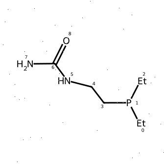 CCP(CC)CCNC(N)=O